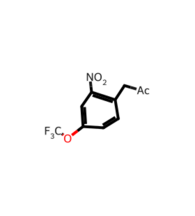 CC(=O)Cc1ccc(OC(F)(F)F)cc1[N+](=O)[O-]